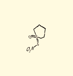 O=[N+]([O-])N=S1(=O)CCCC1